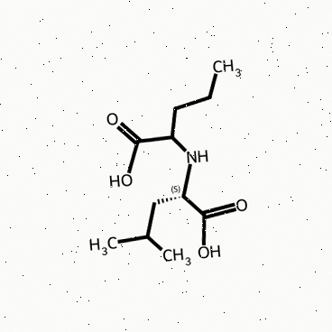 CCCC(N[C@@H](CC(C)C)C(=O)O)C(=O)O